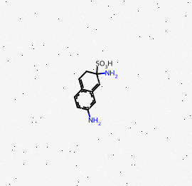 Nc1ccc2c(c1)=CC(N)(S(=O)(=O)O)CC=2